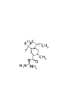 C/C=C(/C)c1cc(C)c(C(=O)N=C(N)N)cc1C(F)(F)F